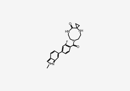 Cn1cc2ccc(-c3ccc(C(=O)N4CCNC(=O)C5(CC5)NCC4)c(F)c3)cc2n1